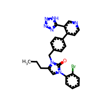 CCCc1cn(-c2ccccc2Br)c(=O)n1Cc1ccc(-c2ccncc2-c2nnn[nH]2)cc1